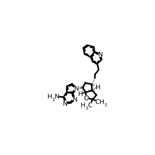 CC1(C)C[C@@H]2[C@@H](CCCc3cnc4ccccc4c3)C[C@@H](n3ccc4c(N)ncnc43)[C@@H]2O1